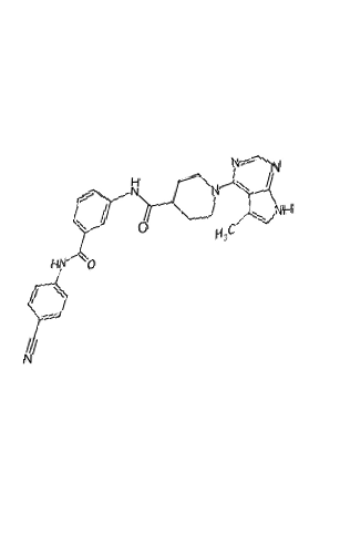 Cc1c[nH]c2ncnc(N3CCC(C(=O)Nc4cccc(C(=O)Nc5ccc(C#N)cc5)c4)CC3)c12